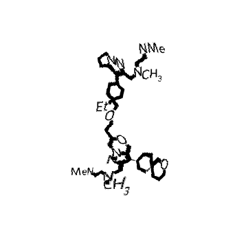 CCC1(COCCC2Cn3nc(CN(C)CCNC)c([C@H]4CC[C@]5(CCCOC5)CC4)c3CO2)CCC(c2c(CN(C)CCNC)nn3c2CCC3)CC1